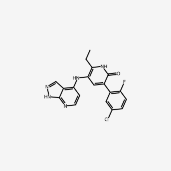 CCc1[nH]c(=O)c(-c2cc(Cl)ccc2F)cc1Nc1ccnc2[nH]ncc12